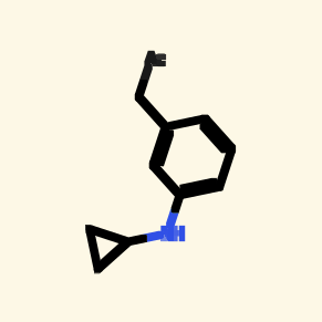 CC(=O)Cc1cccc(NC2CC2)c1